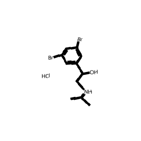 CC(C)NCC(O)c1cc(Br)cc(Br)c1.Cl